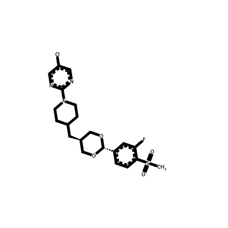 CS(=O)(=O)c1ccc([C@H]2OC[C@H](CC3CCN(c4ncc(Cl)cn4)CC3)CO2)cc1F